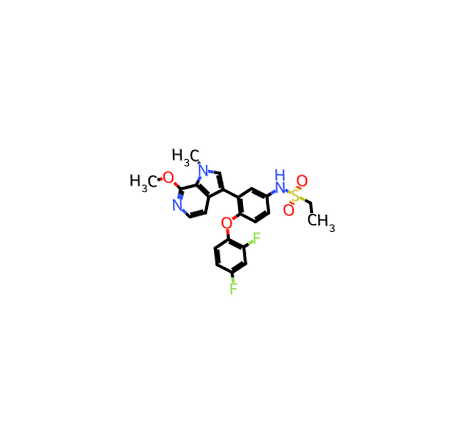 CCS(=O)(=O)Nc1ccc(Oc2ccc(F)cc2F)c(-c2cn(C)c3c(OC)nccc23)c1